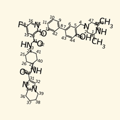 C[C@@H]1CN(Cc2cc(-c3cccc(Oc4ncc(F)cc4C(=O)NC4CCC(NC(=O)c5cn6c(n5)CCCC6)CC4)c3)ccc2O)C[C@H](C)N1